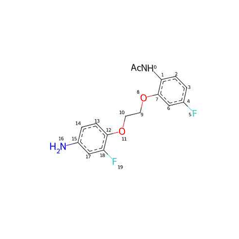 CC(=O)Nc1ccc(F)cc1OCCOc1ccc(N)cc1F